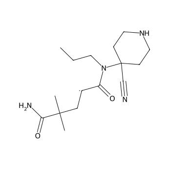 CCCN(C(=O)[CH]CC(C)(C)C(N)=O)C1(C#N)CCNCC1